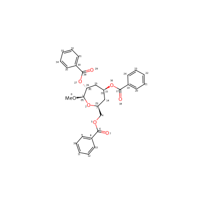 CO[C@@H]1O[C@H](COC(=O)c2ccccc2)C[C@H](OC(=O)c2ccccc2)C[C@H]1OC(=O)c1ccccc1